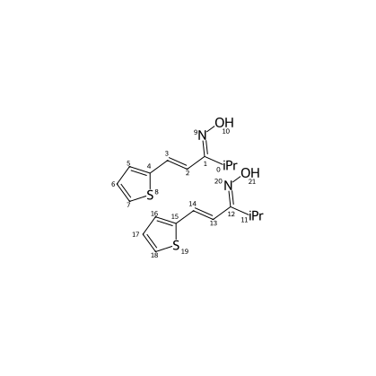 CC(C)C(C=Cc1cccs1)=NO.CC(C)C(C=Cc1cccs1)=NO